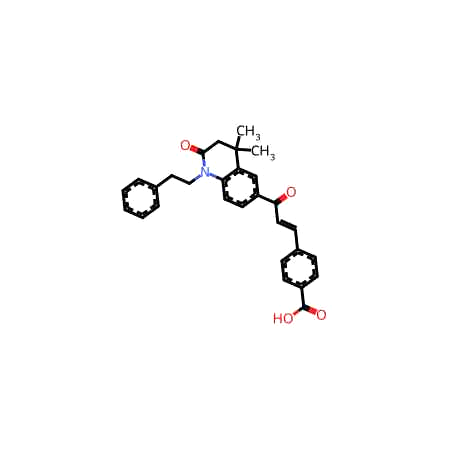 CC1(C)CC(=O)N(CCc2ccccc2)c2ccc(C(=O)C=Cc3ccc(C(=O)O)cc3)cc21